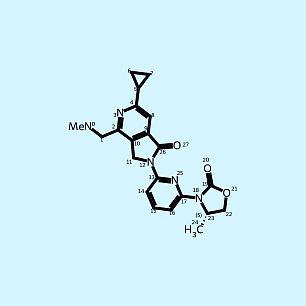 CNCc1nc(C2CC2)cc2c1CN(c1cccc(N3C(=O)OC[C@@H]3C)n1)C2=O